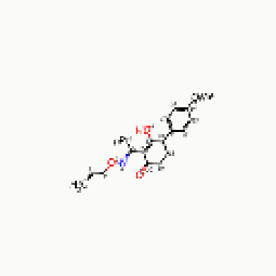 C=CCON=C(CCC)C1=C(O)C(c2ccc(OC)cc2)CCC1=O